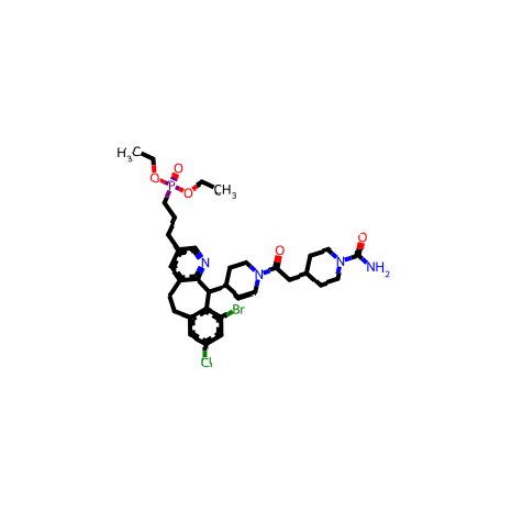 CCOP(=O)(CCCc1cnc2c(c1)CCc1cc(Cl)cc(Br)c1C2C1CCN(C(=O)CC2CCN(C(N)=O)CC2)CC1)OCC